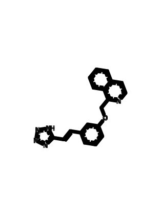 C(=C\c1nnn[nH]1)/c1cccc(OCc2nccc3ccccc23)c1